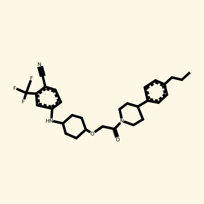 CCCc1ccc(C2CCN(C(=O)COC3CCC(Nc4ccc(C#N)c(C(F)(F)F)c4)CC3)CC2)cc1